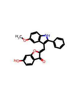 COc1ccc2[nH]c(-c3ccccc3)c(C=C3Oc4cc(O)ccc4C3=O)c2c1